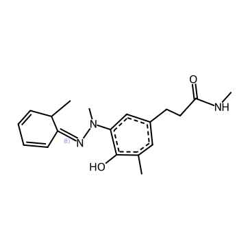 CNC(=O)CCc1cc(C)c(O)c(N(C)/N=C2/C=CC=CC2C)c1